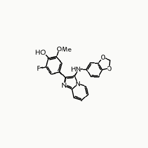 COc1cc(-c2nc3ccccn3c2Nc2ccc3c(c2)OCO3)cc(F)c1O